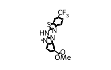 COC(=O)c1ccc2c(c1)nc(Nc1nc3ccc(C(F)(F)F)cc3s1)n2C